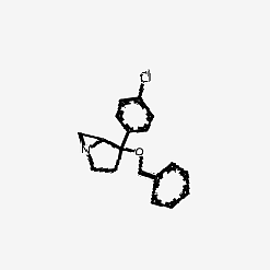 Clc1ccc(C2(OCc3ccccc3)CCN3CC32)cc1